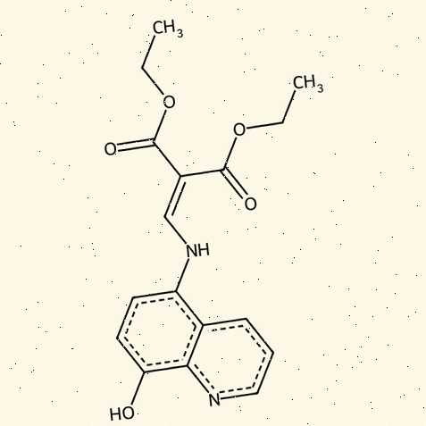 CCOC(=O)C(=CNc1ccc(O)c2ncccc12)C(=O)OCC